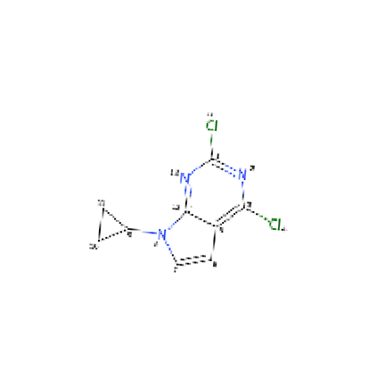 Clc1nc(Cl)c2ccn(C3CC3)c2n1